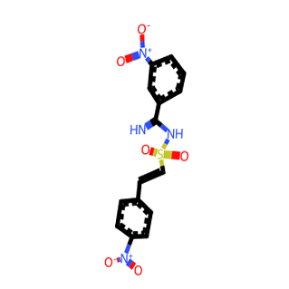 N=C(NS(=O)(=O)C=Cc1ccc([N+](=O)[O-])cc1)c1cccc([N+](=O)[O-])c1